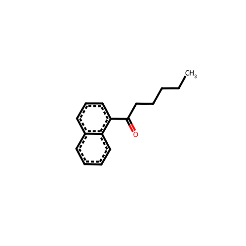 CCCCCC(=O)c1cccc2ccccc12